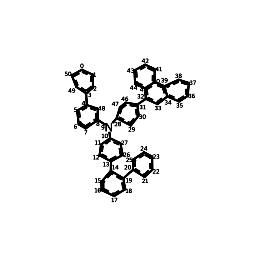 c1ccc(-c2cccc(N(c3ccc(-c4ccccc4-c4ccccc4)cc3)c3ccc(-c4cc5ccccc5c5ccccc45)cc3)c2)cc1